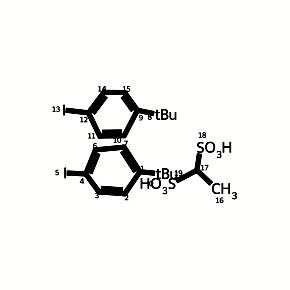 CC(C)(C)c1ccc(I)cc1.CC(C)(C)c1ccc(I)cc1.CC(S(=O)(=O)O)S(=O)(=O)O